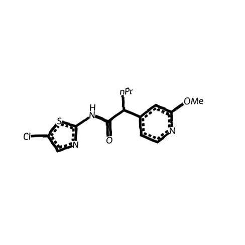 CCCC(C(=O)Nc1ncc(Cl)s1)c1ccnc(OC)c1